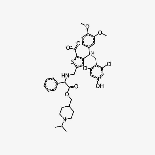 COc1ccc([C@H](Cc2c(Cl)c[n+](O)cc2Cl)c2cc(CNC(C(=O)OCC3CCN(C(C)C)CC3)c3ccccc3)sc2C(=O)[O-])cc1OC